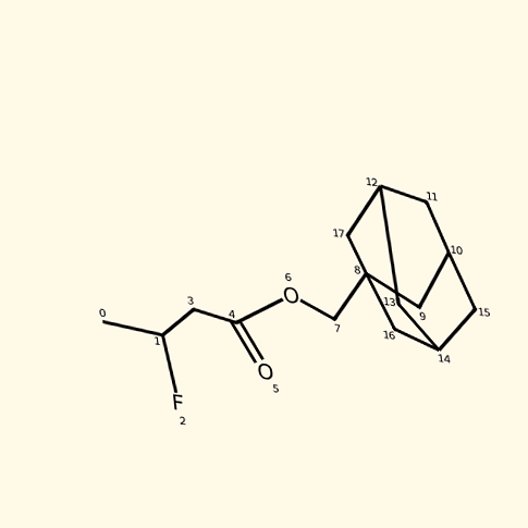 CC(F)CC(=O)OCC12CC3CC(CC(C3)C1)C2